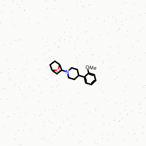 COc1ccccc1C1CCN(C2CC3CCC2O3)CC1